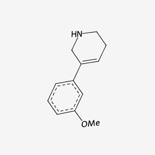 COc1cccc(C2=CCCNC2)c1